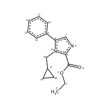 CCOC(=O)c1ncc(-c2ccccc2)n1CC1CC1